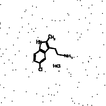 Cc1[nH]c2ccc(Cl)cc2c1CCN.Cl